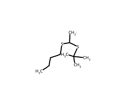 [CH2]C(SCCCC)SC(C)(C)C